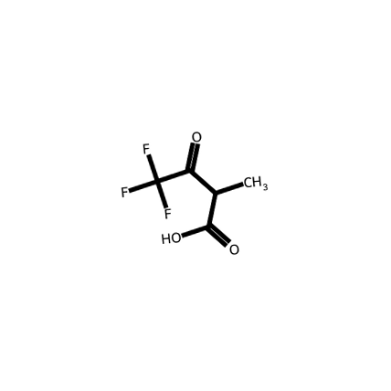 CC(C(=O)O)C(=O)C(F)(F)F